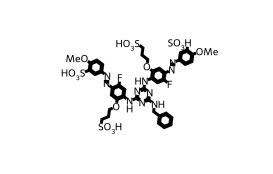 COc1ccc(N=Nc2cc(OCCCS(=O)(=O)O)c(Nc3nc(NCc4ccccc4)nc(Nc4cc(F)c(N=Nc5ccc(OC)c(S(=O)(=O)O)c5)cc4OCCCS(=O)(=O)O)n3)cc2F)cc1S(=O)(=O)O